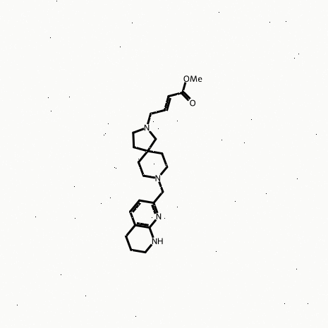 COC(=O)/C=C/CN1CCC2(CCN(Cc3ccc4c(n3)NCCC4)CC2)C1